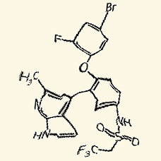 Cc1cc(-c2cc(NS(=O)(=O)CC(F)(F)F)ccc2Oc2ccc(Br)cc2F)c2cc[nH]c2n1